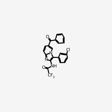 O=C(c1ccccc1)c1ccc2nc(NC(=O)C(F)(F)F)c(-c3cccc(Cl)c3)n2c1